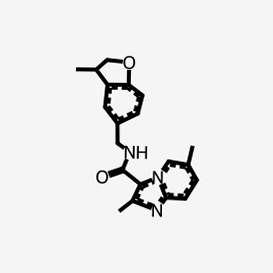 Cc1ccc2nc(C)c(C(=O)NCc3ccc4c(c3)C(C)CO4)n2c1